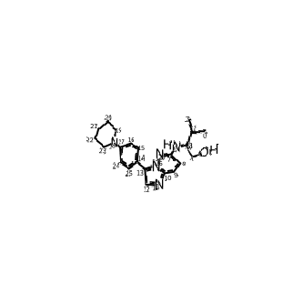 CC(C)[C@@H](CO)Nc1ccc2ncc(-c3ccc(N4CCCCC4)cc3)n2n1